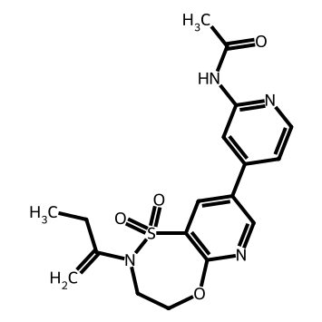 C=C(CC)N1CCOc2ncc(-c3ccnc(NC(C)=O)c3)cc2S1(=O)=O